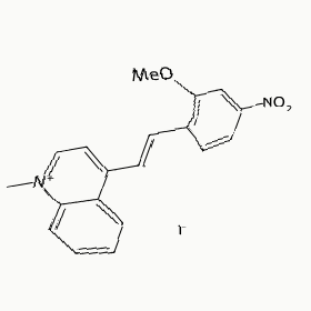 COc1cc([N+](=O)[O-])ccc1C=Cc1cc[n+](C)c2ccccc12.[I-]